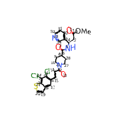 COC(=O)C[C@@H](NC(=O)C1CCN(C(=O)/C=C/c2cc3ccsc3c(Cl)c2Cl)CC1)c1cccnc1